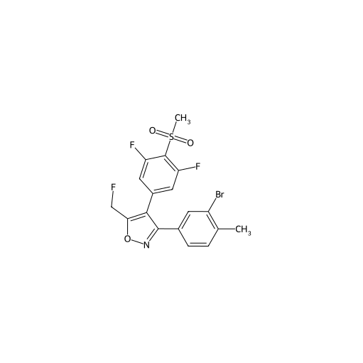 Cc1ccc(-c2noc(CF)c2-c2cc(F)c(S(C)(=O)=O)c(F)c2)cc1Br